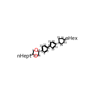 CCCCCCC[C@@H]1CO[C@@H](c2ccc(-c3ccc([C@H]4CC[C@H](CCCCCC)CC4)cc3)cc2)CO1